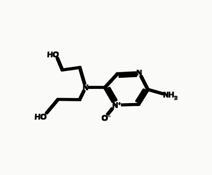 Nc1c[n+]([O-])c(N(CCO)CCO)cn1